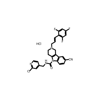 Cl.N#Cc1ccc2c(c1)c1c(n2C(=O)NCc2ccnc(Cl)c2)CCN(C/C=C/c2c(F)cc(F)cc2F)C1